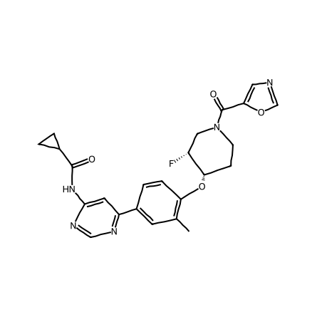 Cc1cc(-c2cc(NC(=O)C3CC3)ncn2)ccc1O[C@H]1CCN(C(=O)c2cnco2)C[C@H]1F